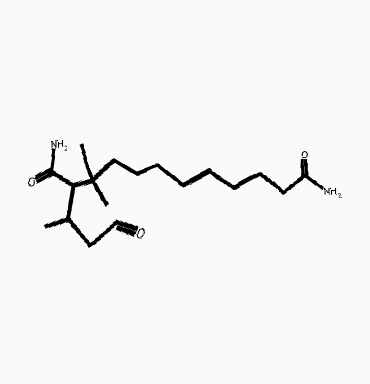 CC(CC=O)C(C(N)=O)C(C)(C)CCCCCCCCC(N)=O